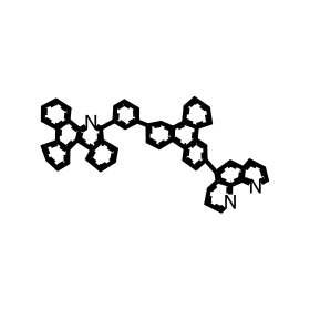 c1cc(-c2ccc3c4ccc(-c5cc6cccnc6c6ncccc56)cc4c4ccccc4c3c2)cc(-c2nc3c4ccccc4c4ccccc4c3c3ccccc23)c1